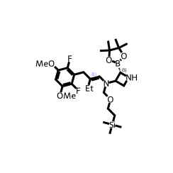 CC/C(=C\N(COCC[Si](C)(C)C)C1CN[C@H]1B1OC(C)(C)C(C)(C)O1)Cc1c(F)c(OC)cc(OC)c1F